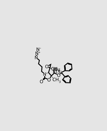 CC[C@@H](O[Si](c1ccccc1)(c1ccccc1)C(C)(C)C)[C@@]1(C)OC(=O)N(CCCCN=[N+]=[N-])[C@@H]1[C@]1(C)CO1